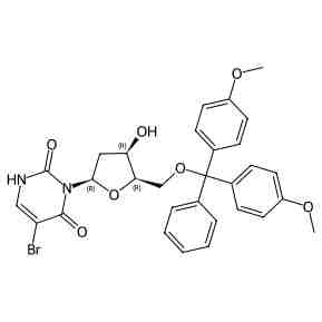 COc1ccc(C(OC[C@H]2O[C@@H](n3c(=O)[nH]cc(Br)c3=O)C[C@H]2O)(c2ccccc2)c2ccc(OC)cc2)cc1